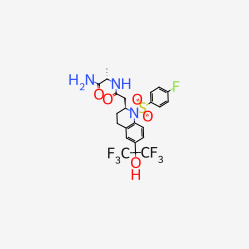 C[C@H](NC(=O)C[C@@H]1CCc2cc(C(O)(C(F)(F)F)C(F)(F)F)ccc2N1S(=O)(=O)c1ccc(F)cc1)C(N)=O